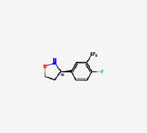 Fc1ccc([C@H]2CCON2)cc1C(F)(F)F